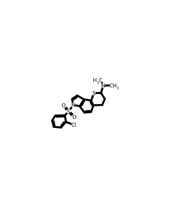 CN(C)C1CCc2ccc3c(ccn3S(=O)(=O)c3ccccc3Cl)c2S1